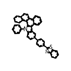 c1ccc(-n2c3ccc(-c4ccc(-c5nc6ccccc6s5)cc4)cc3c3c4ccccc4c4ccc5ccccc5c4c32)cc1